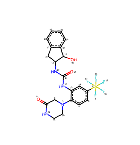 O=C1CN(c2ccc(S(F)(F)(F)(F)F)cc2NC(=O)NC2Cc3ccccc3C2O)CCN1